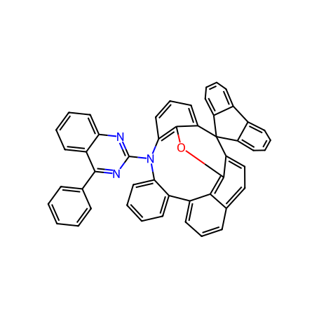 c1ccc(-c2nc(N3c4ccccc4-c4cccc5ccc6c(c45)Oc4c3cccc4C63c4ccccc4-c4ccccc43)nc3ccccc23)cc1